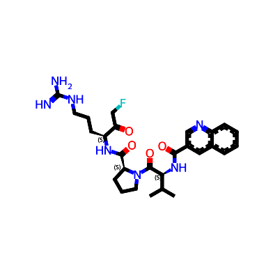 CC(C)[C@H](NC(=O)c1cnc2ccccc2c1)C(=O)N1CCC[C@H]1C(=O)N[C@@H](CCCNC(=N)N)C(=O)CF